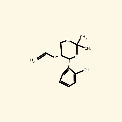 C=CC[C@@H]1COC(C)(C)O[C@@H]1c1ccccc1O